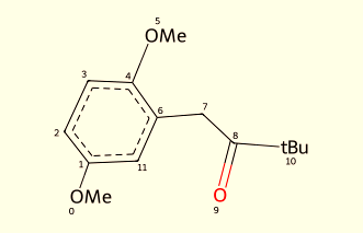 COc1ccc(OC)c(CC(=O)C(C)(C)C)c1